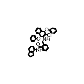 O=C(Nc1cccc2c1CCC2)c1ccccc1CNC1=C(Cl)C(Oc2ccccc2)c2ccccc2C1Oc1ccccc1